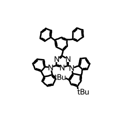 CC(C)(C)c1cc(C(C)(C)C)c2c(c1)c1ccccc1n2-c1nc(-c2cc(-c3ccccc3)cc(-c3ccccc3)c2)nc(-n2c3ccccc3c3ccccc32)n1